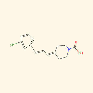 O=C(O)N1CCC(=C/C=C/c2cccc(Cl)c2)CC1